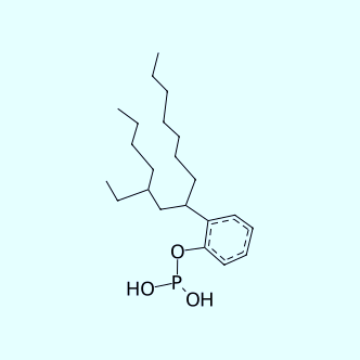 CCCCCCCC(CC(CC)CCCC)c1ccccc1OP(O)O